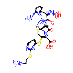 NCCSc1nccc(SC2=C(C(=O)O)N3C(=O)[C@@H](NC(=O)/C(=N\O)c4cccc(N)n4)[C@@H]3SC2)n1